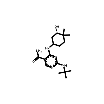 CC(C)(C)Nc1ncc(C(N)=O)c(NC2CCC(C)(C)[C@@H](O)C2)n1